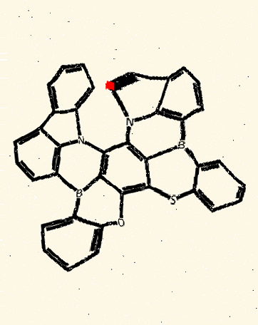 c1ccc2c(c1)Oc1c3c4c(c5c1B2c1cccc2c6ccccc6n-5c12)-n1c2ccccc2c2cccc(c21)B4c1ccccc1S3